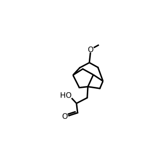 COC1CC2CC3C(C1)CC3(CC(O)C=O)C2